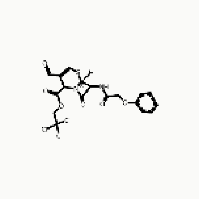 O=CC1=CS[C@@H]2C(NC(=O)COc3ccccc3)C(=O)N2C1C(=O)OCC(Cl)(Cl)Cl